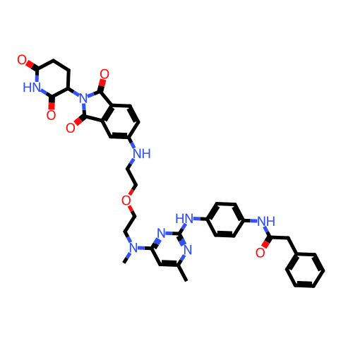 Cc1cc(N(C)CCOCCNc2ccc3c(c2)C(=O)N(C2CCC(=O)NC2=O)C3=O)nc(Nc2ccc(NC(=O)Cc3ccccc3)cc2)n1